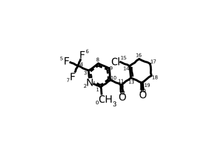 Cc1nc(C(F)(F)F)ccc1C(=O)C1=C(Cl)CCCC1=O